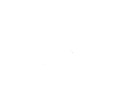 c1cc(-c2cccc3c2sc2ccccc23)cc(N(c2ccc(-c3ccc4sc5ccccc5c4c3)cc2)c2ccc(-c3cccc4c3oc3ccccc34)cc2)c1